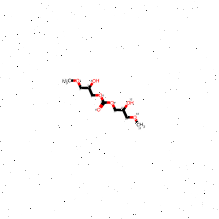 COCC(O)COC(=O)OCC(O)COC